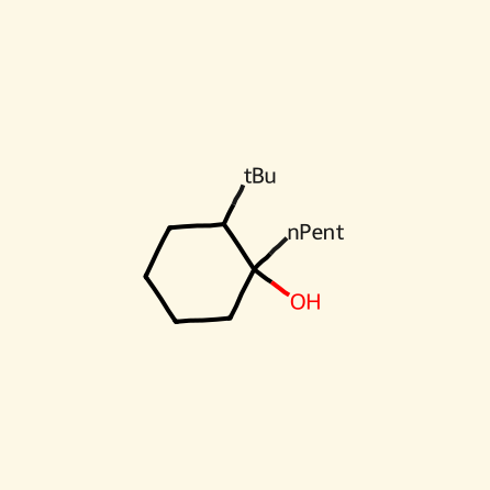 CCCCCC1(O)CCCCC1C(C)(C)C